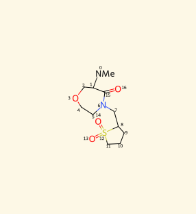 CNC1COCCN(CC2CCCS2(=O)=O)C1=O